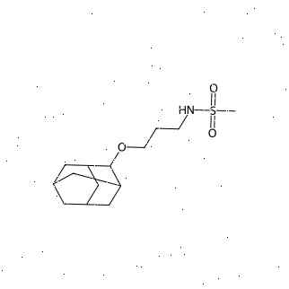 CS(=O)(=O)NCCCOC1C2CC3CC(C2)CC1C3